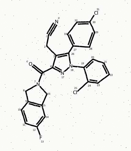 N#CCc1c(C(=O)N2Cc3ccc(F)cc3C2)nn(-c2ccccc2Cl)c1-c1ccc(Cl)cc1